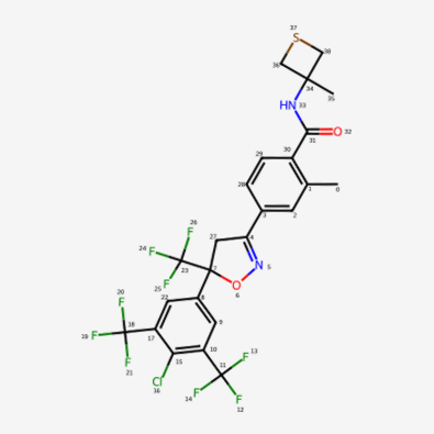 Cc1cc(C2=NOC(c3cc(C(F)(F)F)c(Cl)c(C(F)(F)F)c3)(C(F)(F)F)C2)ccc1C(=O)NC1(C)CSC1